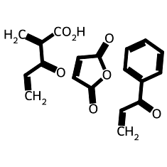 C=CC(=O)C(=C)C(=O)O.C=CC(=O)c1ccccc1.O=C1C=CC(=O)O1